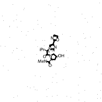 CNC(=O)[C@@H]1C[C@@H](O)CN1C(=O)[C@@H](C(C)C)n1cc(-c2ncco2)nn1